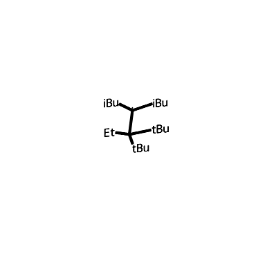 CCC(C)[C](C(C)CC)C(CC)(C(C)(C)C)C(C)(C)C